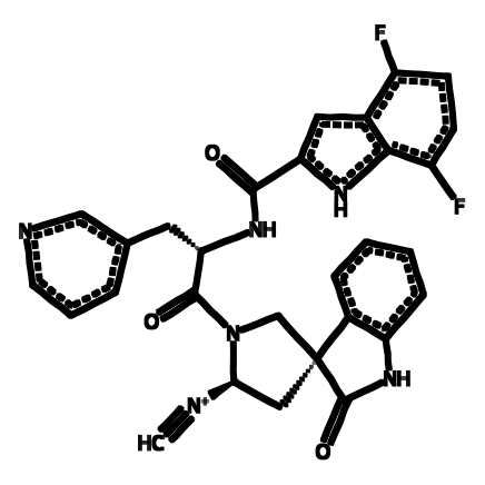 C#[N+][C@@H]1C[C@@]2(CN1C(=O)[C@H](Cc1cccnc1)NC(=O)c1cc3c(F)ccc(F)c3[nH]1)C(=O)Nc1ccccc12